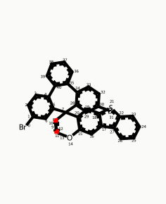 Brc1ccc2c(c1)C1(c3ccccc3Oc3cc4c(cc31)sc1ccccc14)c1cc(Br)ccc1-c1ccccc1-2